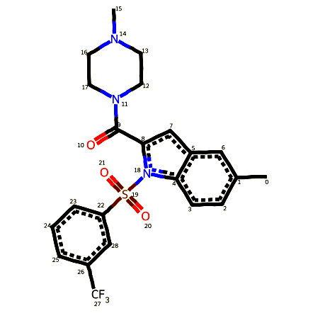 Cc1ccc2c(c1)cc(C(=O)N1CCN(C)CC1)n2S(=O)(=O)c1cccc(C(F)(F)F)c1